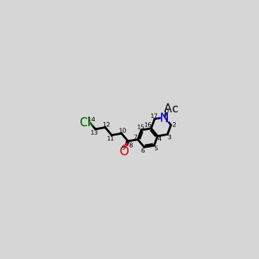 CC(=O)N1CCc2ccc(C(=O)CCCCCl)cc2C1